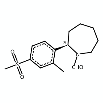 Cc1cc(S(C)(=O)=O)ccc1[C@H]1CCCCCN1C=O